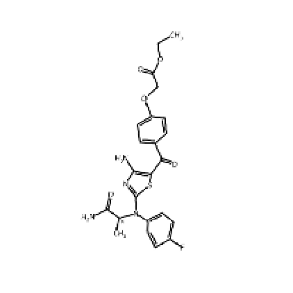 CCOC(=O)COc1ccc(C(=O)c2sc(N(c3ccc(F)cc3)[C@@H](C)C(N)=O)nc2N)cc1